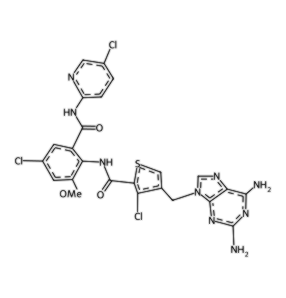 COc1cc(Cl)cc(C(=O)Nc2ccc(Cl)cn2)c1NC(=O)c1scc(Cn2cnc3c(N)nc(N)nc32)c1Cl